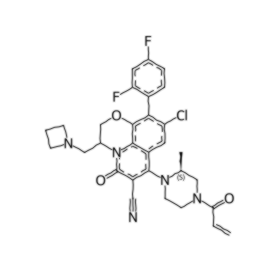 C=CC(=O)N1CCN(c2c(C#N)c(=O)n3c4c(c(-c5ccc(F)cc5F)c(Cl)cc24)OCC3CN2CCC2)[C@@H](C)C1